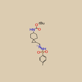 Cc1ccc(S(=O)(=O)N/N=C/C2CC23CCC(NC(=O)OC(C)(C)C)CC3)cc1